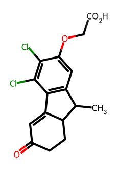 CC1c2cc(OCC(=O)O)c(Cl)c(Cl)c2C2=CC(=O)CCC21